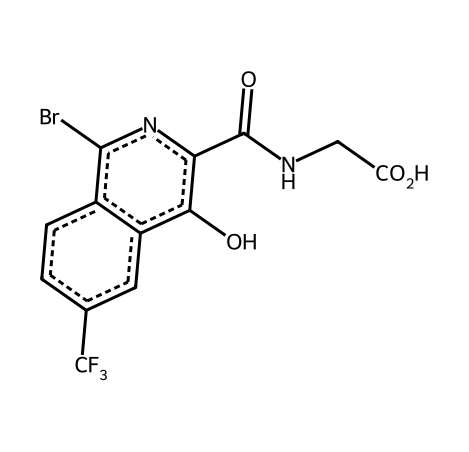 O=C(O)CNC(=O)c1nc(Br)c2ccc(C(F)(F)F)cc2c1O